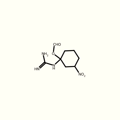 N=C(N)NC1(OC=O)CCCC([N+](=O)[O-])C1